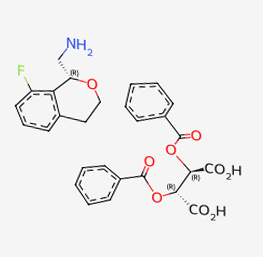 NC[C@@H]1OCCc2cccc(F)c21.O=C(O[C@@H](C(=O)O)[C@@H](OC(=O)c1ccccc1)C(=O)O)c1ccccc1